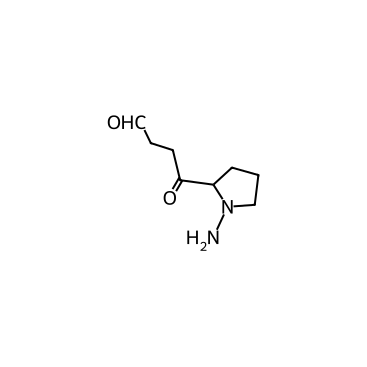 NN1CCCC1C(=O)CCC=O